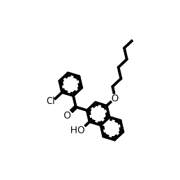 CCCCCCOc1cc(C(=O)c2ccccc2Cl)c(O)c2ccccc12